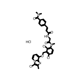 Cc1nc2c(OCc3c(Cl)ccc(N(C)C(=O)CNC(=O)/C=C/c4ccc(C(=O)N(C)C)cc4)c3Cl)cccn2c1Cl.Cl